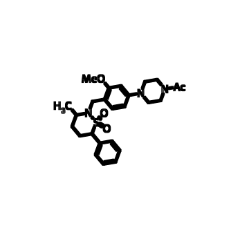 COc1cc(N2CCN(C(C)=O)CC2)ccc1CN1C(C)CCC(c2ccccc2)S1(=O)=O